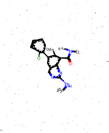 CCN(CC)C(=O)c1c(OC)c(-c2ccccc2Cl)cc2cnc(NC(C)C)nc12